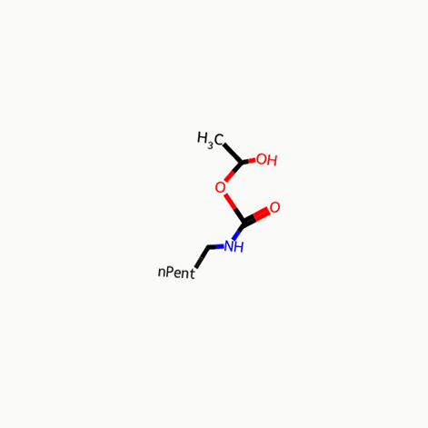 CCCCCCNC(=O)OC(C)O